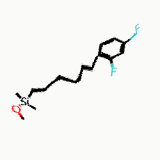 CO[Si](C)(C)CCCCCCc1ccc(F)cc1F